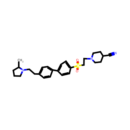 CC1CCCN1CCc1ccc(-c2ccc(S(=O)(=O)CCN3CCC(C#N)CC3)cc2)cc1